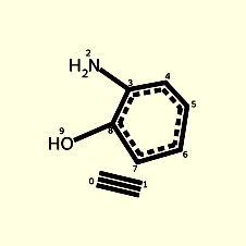 C#C.Nc1ccccc1O